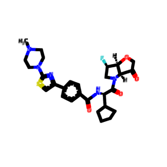 CN1CCN(c2nc(-c3ccc(C(=O)N[C@H](C(=O)N4C[C@@H](F)[C@H]5OCC(=O)[C@H]54)C4CCCC4)cc3)cs2)CC1